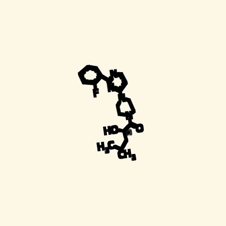 CC(C)C[C@@H](O)C(=O)N1CCN(c2ccnc(-c3ccccc3F)n2)CC1